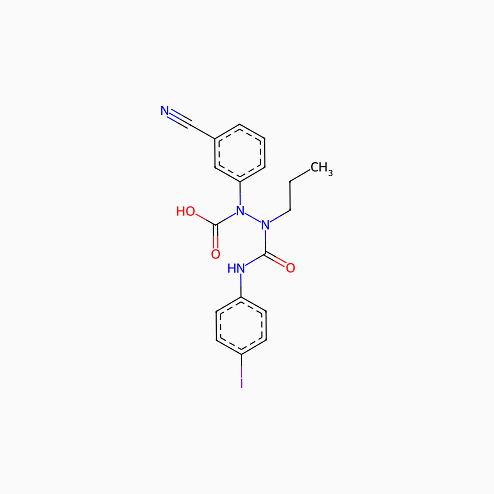 CCCN(C(=O)Nc1ccc(I)cc1)N(C(=O)O)c1cccc(C#N)c1